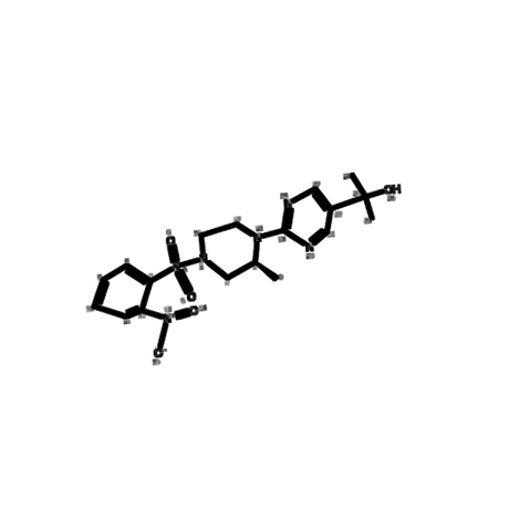 C[C@H]1CN(S(=O)(=O)c2ccccc2[N+](=O)[O-])CCN1c1ncc(C(C)(C)O)cn1